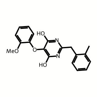 COc1ccccc1Oc1c(O)nc(Cc2ccccc2C)nc1O